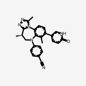 Cc1c(-c2ccc(=O)[nH]c2)ccc2c1N(c1ccc(C#N)cc1)C[C@@H](C)c1nnc(C)n1-2